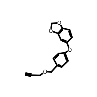 C#CCOCc1ccc(Oc2ccc3c(c2)OCO3)cc1